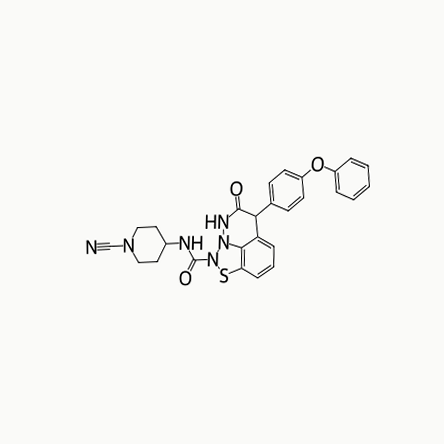 N#CN1CCC(NC(=O)N2Sc3cccc4c3N2NC(=O)C4c2ccc(Oc3ccccc3)cc2)CC1